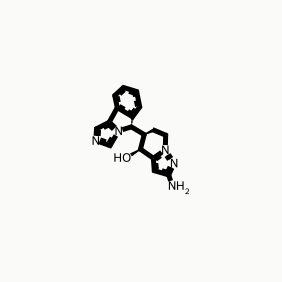 Nc1cc2n(n1)CC[C@H]([C@H]1c3ccccc3-c3cncn31)[C@@H]2O